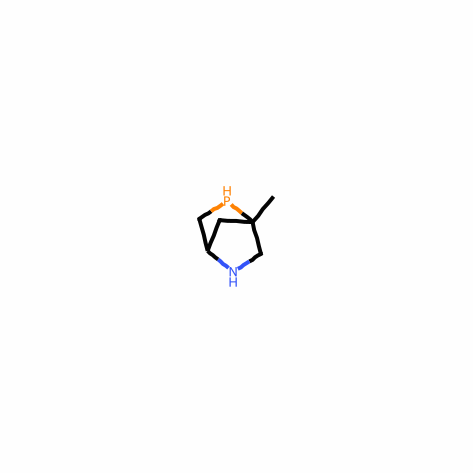 CC12CNC(CP1)C2